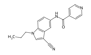 CCCn1cc(C#N)c2cc(NC(=O)c3ccncc3)ccc21